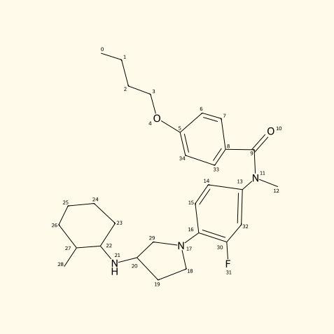 CCCCOc1ccc(C(=O)N(C)c2ccc(N3CCC(NC4CCCCC4C)C3)c(F)c2)cc1